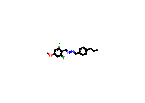 CCCc1ccc(C=NN=Cc2c(F)cc(OC)cc2F)cc1